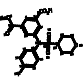 COC(=O)c1cc(C(=O)O)cc(N(c2ccc(F)cc2)S(=O)(=O)N2CCOCC2)c1